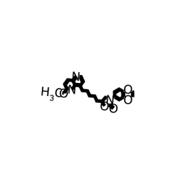 COc1ccc2nccc(CCCCCC3CN(c4ccc5c(c4)OCCO5)C(=O)O3)c2n1